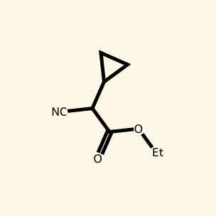 CCOC(=O)C(C#N)C1CC1